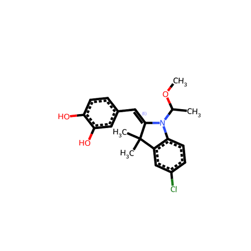 COC(C)N1/C(=C/c2ccc(O)c(O)c2)C(C)(C)c2cc(Cl)ccc21